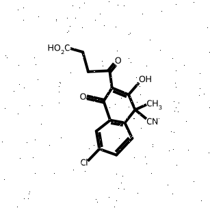 CC1(C#N)C(O)=C(C(=O)CCC(=O)O)C(=O)c2cc(Cl)ccc21